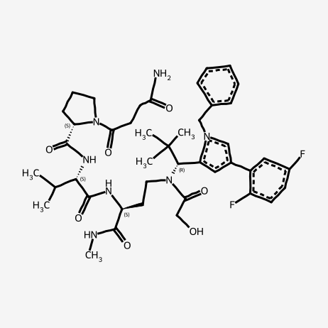 CNC(=O)[C@H](CCN(C(=O)CO)[C@@H](c1cc(-c2cc(F)ccc2F)cn1Cc1ccccc1)C(C)(C)C)NC(=O)[C@@H](NC(=O)[C@@H]1CCCN1C(=O)CCC(N)=O)C(C)C